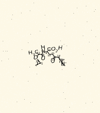 CC(OC1CC1)C(=O)NC(CCC(=O)C=[N+]=[N-])C(=O)O